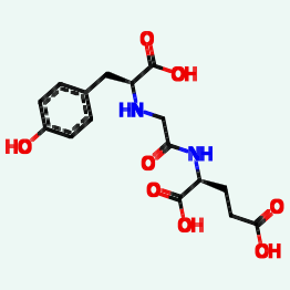 O=C(O)CC[C@H](NC(=O)CN[C@@H](Cc1ccc(O)cc1)C(=O)O)C(=O)O